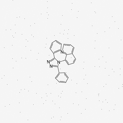 [c]1ccccc1-c1nnc(-c2ccccc2)n1-c1cccc2cccnc12